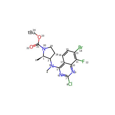 C[C@@H]1C(N(C)c2nc(Cl)nc3c(F)c(Br)ccc23)CCN1C(=O)OC(C)(C)C